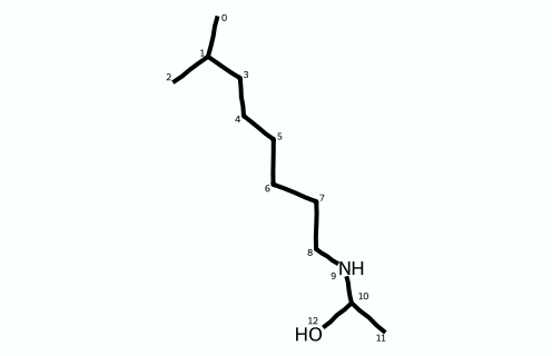 CC(C)CCCCCCNC(C)O